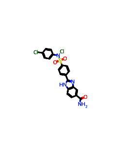 NC(=O)c1ccc2[nH]c(-c3ccc(S(=O)(=O)N(Cl)c4ccc(Cl)cc4)cc3)nc2c1